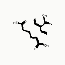 C=CC(=CC)C(=O)O.O=C(O)CCCCC(=O)O